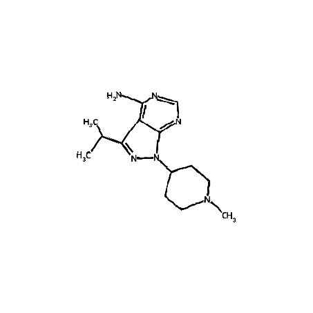 CC(C)c1nn(C2CCN(C)CC2)c2ncnc(N)c12